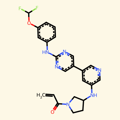 C=CC(=O)N1CCC(Nc2cncc(-c3cnc(Nc4cccc(OC(F)F)c4)nc3)c2)C1